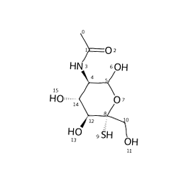 CC(=O)N[C@H]1C(O)O[C@@](S)(CO)[C@@H](O)[C@@H]1O